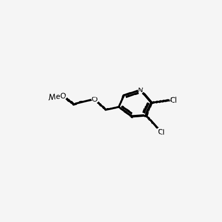 COCOCc1cnc(Cl)c(Cl)c1